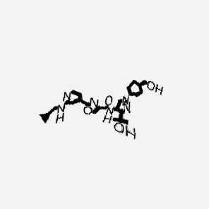 CC(C)(O)c1nn(C2CCC(CO)CC2)cc1NC(=O)c1coc(-c2ccnc(NCC3CC3)c2)n1